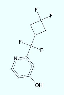 Oc1ccnc(C(F)(F)C2CC(F)(F)C2)c1